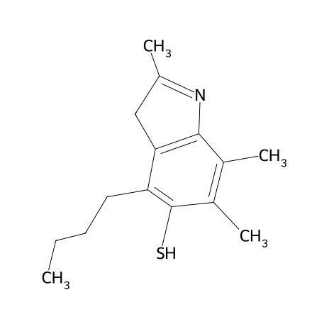 CCCCc1c(S)c(C)c(C)c2c1CC(C)=N2